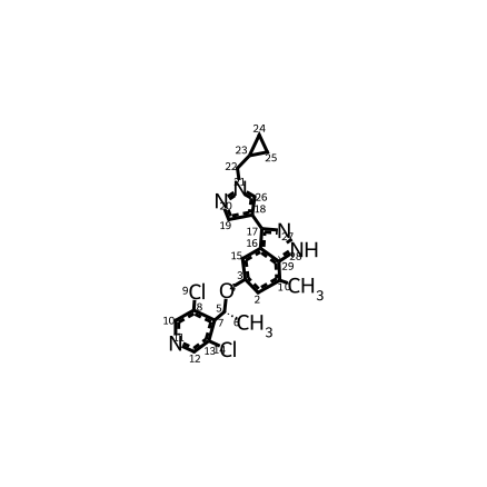 Cc1cc(O[C@H](C)c2c(Cl)cncc2Cl)cc2c(-c3cnn(CC4CC4)c3)n[nH]c12